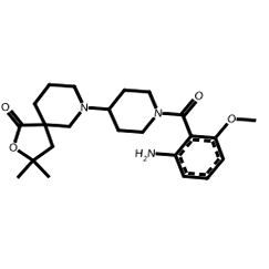 COc1cccc(N)c1C(=O)N1CCC(N2CCCC3(C2)CC(C)(C)OC3=O)CC1